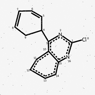 Clc1nc(C2C=CC=CC2)c2ccccc2n1